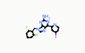 Nc1nc(-c2cc(I)ccn2)c2ncn(Cc3c(F)cccc3F)c2n1